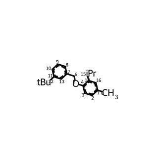 Cc1ccc(OCc2cccc(C(C)(C)C)c2)c(C(C)C)c1